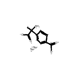 CC(N)(C(=O)[O-])c1ccc(C(=O)[O-])cc1.[Na+].[Na+]